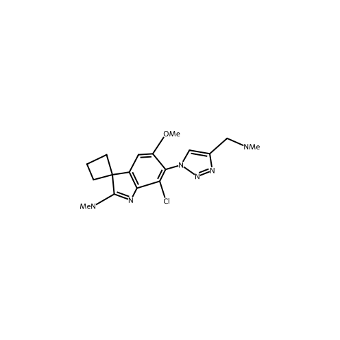 CNCc1cn(-c2c(OC)cc3c(c2Cl)N=C(NC)C32CCC2)nn1